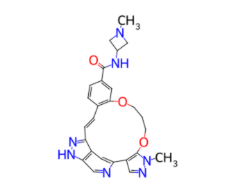 CN1CC(NC(=O)c2ccc3c(c2)OCCCOc2c(cnn2C)-c2cc4c(n[nH]c4cn2)/C=C/3)C1